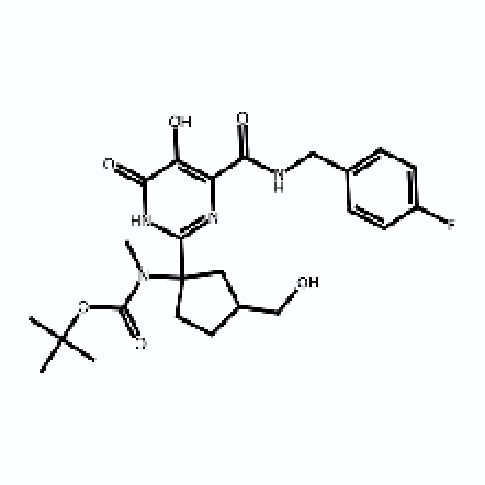 CN(C(=O)OC(C)(C)C)C1(c2nc(C(=O)NCc3ccc(F)cc3)c(O)c(=O)[nH]2)CCC(CO)C1